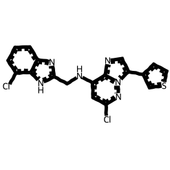 Clc1cc(NCc2nc3cccc(Cl)c3[nH]2)c2ncc(-c3ccsc3)n2n1